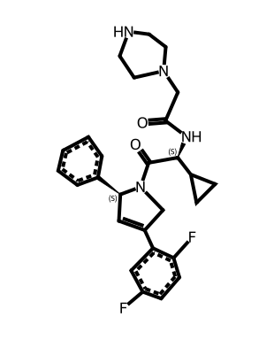 O=C(CN1CCNCC1)N[C@H](C(=O)N1CC(c2cc(F)ccc2F)=C[C@H]1c1ccccc1)C1CC1